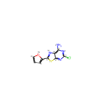 Nc1nc(Cl)nc2sc(-c3ccco3)nc12